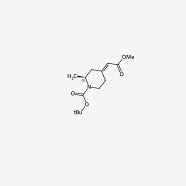 COC(=O)C=C1CCN(C(=O)OC(C)(C)C)[C@@H](C)C1